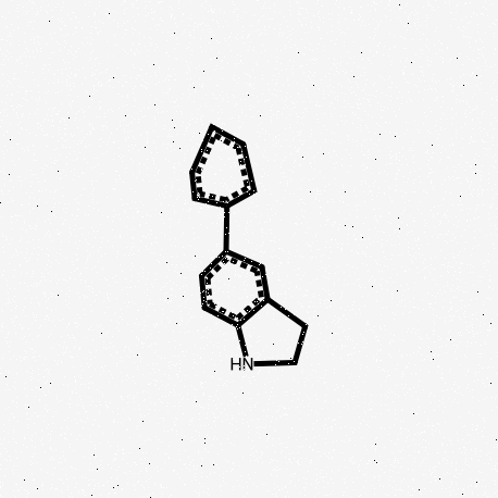 c1ccc(-c2ccc3c(c2)CCN3)cc1